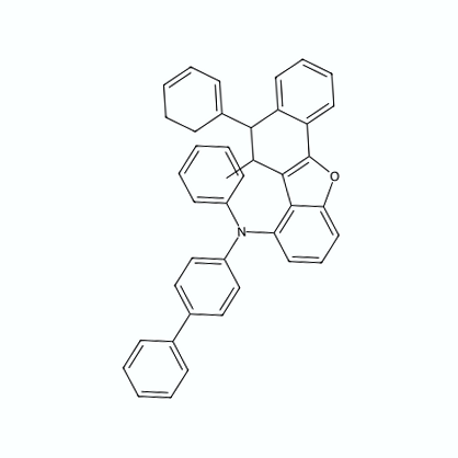 CC1c2c(oc3cccc(N(c4ccccc4)c4ccc(-c5ccccc5)cc4)c23)-c2ccccc2C1C1=CC=CCC1